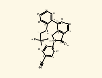 N#Cc1ccc(N2Cc3c(ccnc3-c3ccccc3OCC(F)(F)F)C2=O)nc1